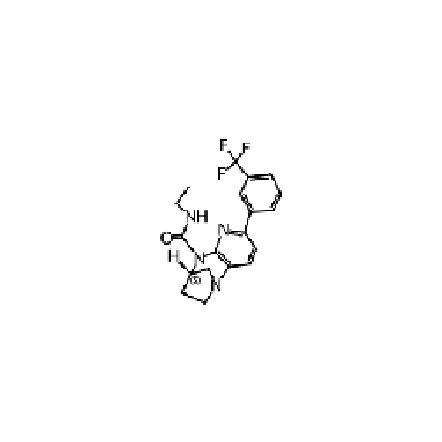 CCNC(=O)N1c2nc(-c3cccc(C(F)(F)F)c3)ccc2N2CC[C@H]1C2